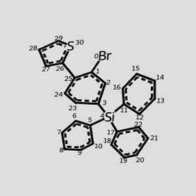 Brc1cc([Si](c2ccccc2)(c2ccccc2)c2ccccc2)ccc1-c1cccs1